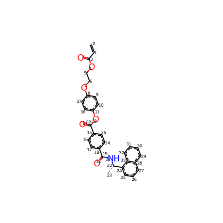 C=CC(=O)OCCOc1ccc(OC(=O)c2ccc(C(=O)N[C@@H](C)c3cccc4ccccc34)cc2)cc1